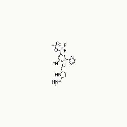 C=Nc1cc(C(OC(C)=O)C(F)(F)F)cc(-c2nccs2)c1OCC1CCC(CNC)N1